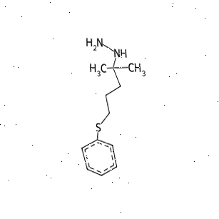 CC(C)(CCCSc1ccccc1)NN